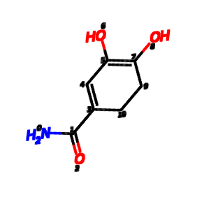 NC(=O)C1=CC(O)=C(O)CC1